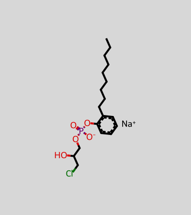 CCCCCCCCCc1ccccc1OP(=O)([O-])OCC(O)CCl.[Na+]